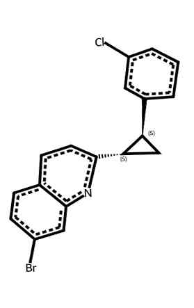 Clc1cccc([C@H]2C[C@@H]2c2ccc3ccc(Br)cc3n2)c1